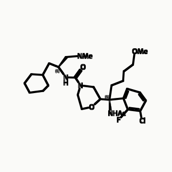 CNC[C@H](CC1CCCCC1)NC(=O)N1CCOC([C@@](CCCCOC)(NC(C)=O)c2cccc(Cl)c2F)C1